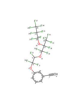 C#Cc1cccc(OC(F)(F)C(F)OC(F)(F)C(F)(OC(F)(F)C(F)(F)C(F)(F)F)C(F)(F)F)c1